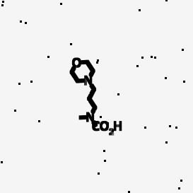 CN(CCCN1CCOCC1)C(=O)O